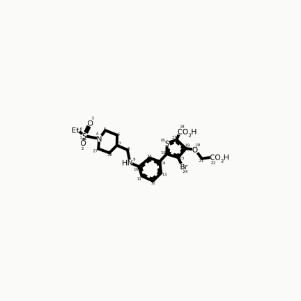 CCS(=O)(=O)N1CCC(CNc2cccc(-c3sc(C(=O)O)c(OCC(=O)O)c3Br)c2)CC1